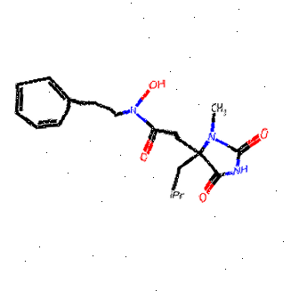 CC(C)CC1(CC(=O)N(O)CCc2ccccc2)C(=O)NC(=O)N1C